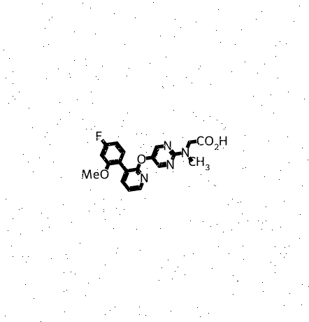 COc1cc(F)ccc1-c1cccnc1Oc1cnc(N(C)CC(=O)O)nc1